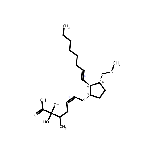 CCCCCC/C=C/[C@@H]1[C@@H](C/C=C\CC(C)C(O)(O)C(=O)O)CC[C@H]1CSC